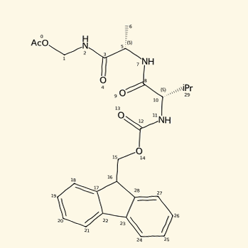 CC(=O)OCNC(=O)[C@H](C)NC(=O)[C@@H](NC(=O)OCC1c2ccccc2-c2ccccc21)C(C)C